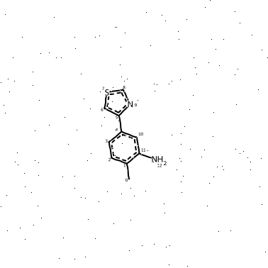 Cc1ccc(-c2cscn2)cc1N